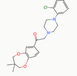 CC1(C)COc2ccc(C(=O)CN3CCN(c4ccccc4Cl)CC3)cc2OC1